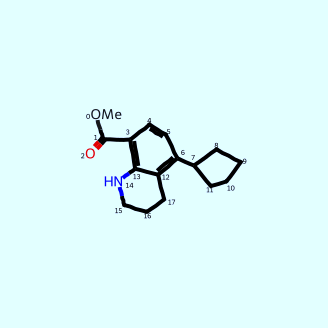 COC(=O)c1ccc(C2CCCC2)c2c1NCCC2